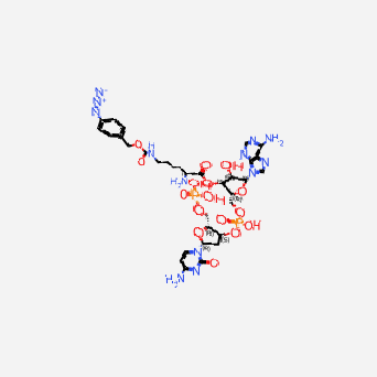 [N-]=[N+]=Nc1ccc(COC(=O)NCCCC[C@H](N)C(=O)O[C@H]2[C@@H](O)[C@H](n3cnc4c(N)ncnc43)O[C@@H]2COP(=O)(O)O[C@H]2C[C@H](n3ccc(N)nc3=O)O[C@@H]2COP(=O)(O)O)cc1